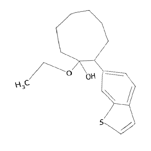 CCOC1(O)CCCCCCC1c1ccc2ccsc2c1